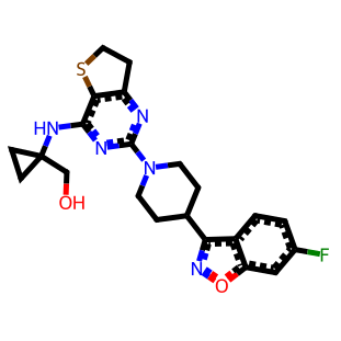 OCC1(Nc2nc(N3CCC(c4noc5cc(F)ccc45)CC3)nc3c2SCC3)CC1